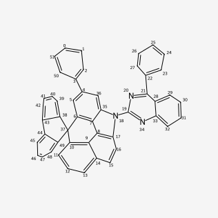 c1ccc(-c2cc3c4c5c6c(cccc6ccc5n(-c5nc(-c6ccccc6)c6ccccc6n5)c4c2)C32c3ccccc3-c3ccccc32)cc1